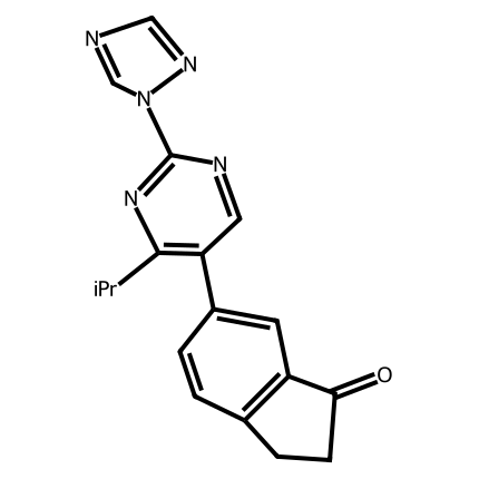 CC(C)c1nc(-n2cncn2)ncc1-c1ccc2c(c1)C(=O)CC2